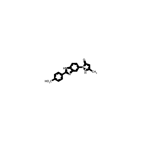 Cc1cc(=O)n(-c2ccc3[nH]c(-c4ccc(C(=O)O)cc4)nc3c2)[nH]1